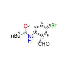 CCCCC(=O)Nc1ccc(Br)cc1C=O